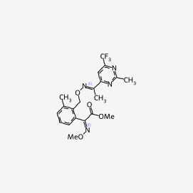 CO/N=C(/C(=O)OC)c1cccc(C)c1CO/N=C(\C)c1cc(C(F)(F)F)nc(C)n1